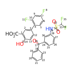 O=C(O)c1cc(-c2ccc(F)cc2F)ccc1O.O=C(c1ccccc1)c1cccc(NS(=O)(=O)C(F)F)c1